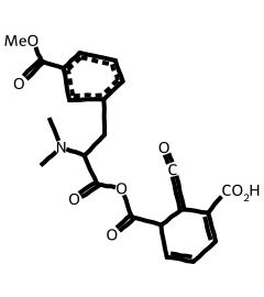 COC(=O)c1cccc(CC(C(=O)OC(=O)C2C=CC=C(C(=O)O)C2=C=O)N(C)C)c1